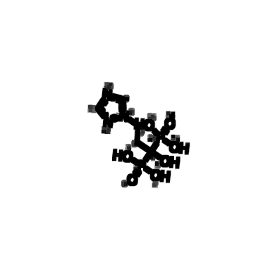 O=P(O)(O)C(O)(CCn1cncn1)P(=O)(O)O